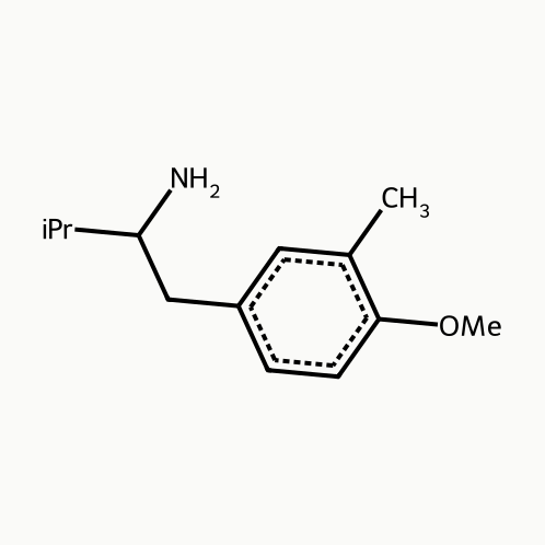 COc1ccc(CC(N)C(C)C)cc1C